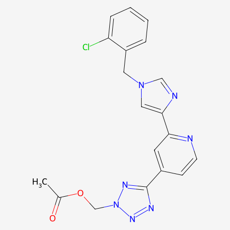 CC(=O)OCn1nnc(-c2ccnc(-c3cn(Cc4ccccc4Cl)cn3)c2)n1